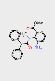 COC(=O)c1cccc(N)c1N(C)C(=O)C(c1ccccc1)c1ccccc1